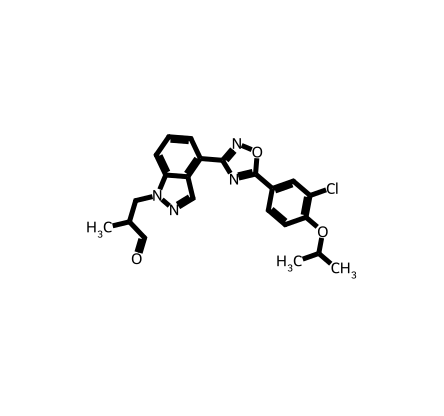 CC(C=O)Cn1ncc2c(-c3noc(-c4ccc(OC(C)C)c(Cl)c4)n3)cccc21